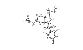 Cc1cc(C)c(S(=O)(=O)n2cc(C(=O)CCl)c3ccc(CC4CC4)cc32)c(C)c1